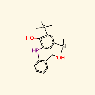 C[Si](C)(C)c1cc(Pc2ccccc2CO)c(O)c([Si](C)(C)C)c1